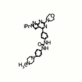 CC(C)n1cc2c(-c3ccc(NC(=O)Nc4ccc(N5CCN(C)CC5)cc4)cc3)nc(N3CCOCC3)nc2n1